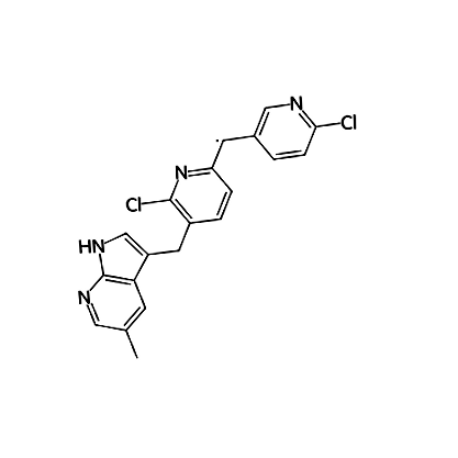 Cc1cnc2[nH]cc(Cc3ccc([CH]c4ccc(Cl)nc4)nc3Cl)c2c1